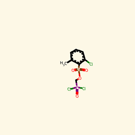 Cc1cccc(Cl)c1S(=O)(=O)OCP(=O)(Cl)Cl